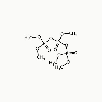 COP(=O)(OC)OP(=O)(OC)OP(=O)(OC)OC